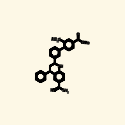 COC(=O)c1ccc(-c2cccc(C3CC(c4ccccc4)c4cc(C(=N)N)ccc4N3)c2)c(C(=O)O)c1